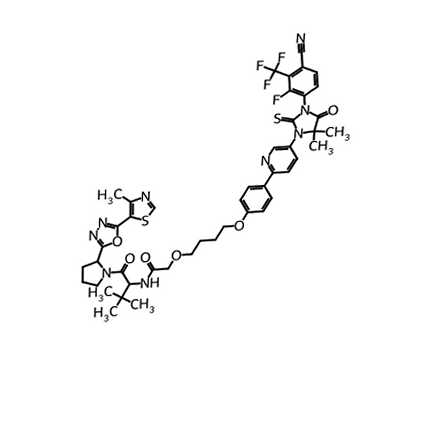 Cc1ncsc1-c1nnc(C2CCCN2C(=O)C(NC(=O)COCCCCOc2ccc(-c3ccc(N4C(=S)N(c5ccc(C#N)c(C(F)(F)F)c5F)C(=O)C4(C)C)cn3)cc2)C(C)(C)C)o1